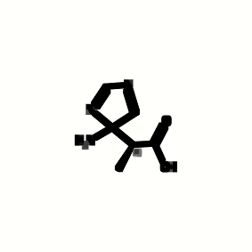 C[C@H](C(=O)O)C1(N)C=NC=N1